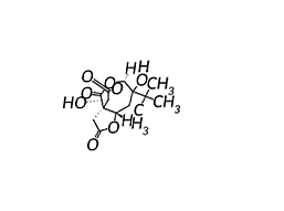 CC(C)(C)C1(O)C[C@@H]2OC(=O)C[C@@]23C(=O)O[C@@H]1OC(=O)[C@@H]3O